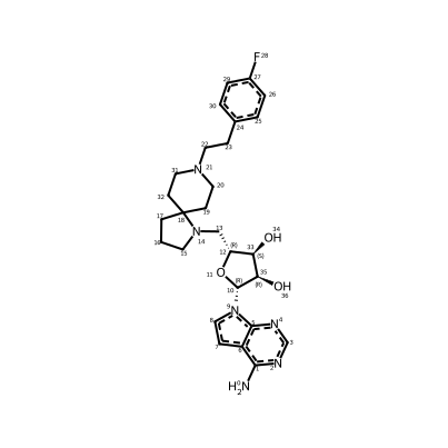 Nc1ncnc2c1ccn2[C@@H]1O[C@H](CN2CCCC23CCN(CCc2ccc(F)cc2)CC3)[C@@H](O)[C@H]1O